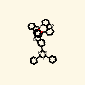 c1ccc(-c2nc(-c3ccccc3)nc(-c3ccc4c(c3)oc3cccc(-c5cccc6oc7cccc(-n8c9ccccc9c9ccccc98)c7c56)c34)n2)cc1